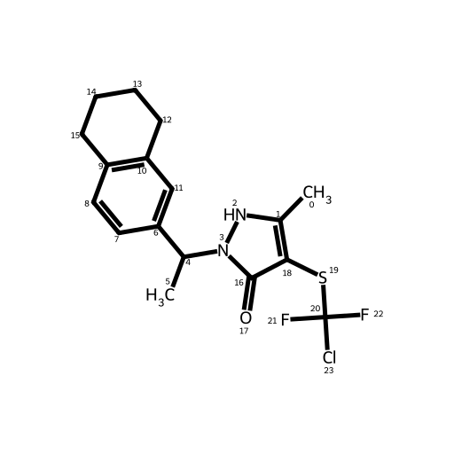 Cc1[nH]n(C(C)c2ccc3c(c2)CCCC3)c(=O)c1SC(F)(F)Cl